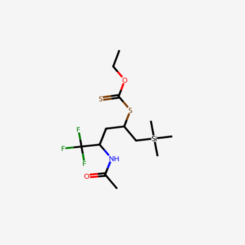 CCOC(=S)SC(CC(NC(C)=O)C(F)(F)F)C[Si](C)(C)C